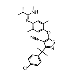 CNC(=Nc1cc(C)c(Oc2snc(C(C)(C)c3ccc(Cl)cc3)c2C#N)cc1C)C(C)C